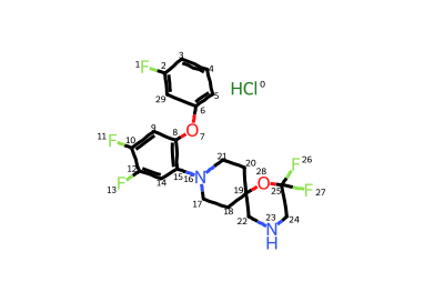 Cl.Fc1cccc(Oc2cc(F)c(F)cc2N2CCC3(CC2)CNCC(F)(F)O3)c1